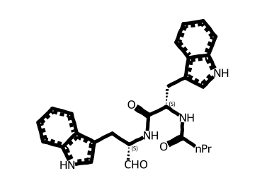 CCCC(=O)N[C@@H](Cc1c[nH]c2ccccc12)C(=O)N[C@H](C=O)Cc1c[nH]c2ccccc12